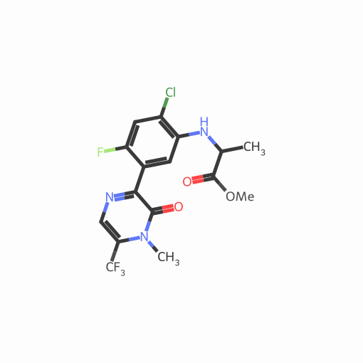 COC(=O)C(C)Nc1cc(-c2ncc(C(F)(F)F)n(C)c2=O)c(F)cc1Cl